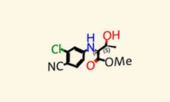 COC(=O)[C@H](Nc1ccc(C#N)c(Cl)c1)[C@H](C)O